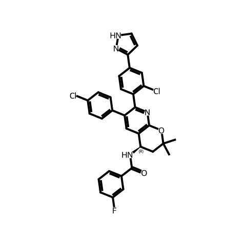 CC1(C)C[C@@H](NC(=O)c2cccc(F)c2)c2cc(-c3ccc(Cl)cc3)c(-c3ccc(-c4cc[nH]n4)cc3Cl)nc2O1